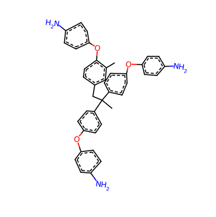 Cc1cc(CC(C)(c2ccc(Oc3ccc(N)cc3)cc2)c2ccc(Oc3ccc(N)cc3)cc2)ccc1Oc1ccc(N)cc1